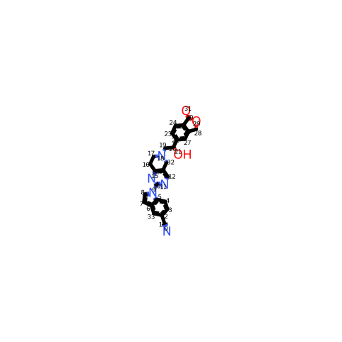 N#Cc1ccc2c(ccn2-c2ncc3c(n2)CCN(CC(O)c2ccc4c(c2)COC4=O)C3)c1